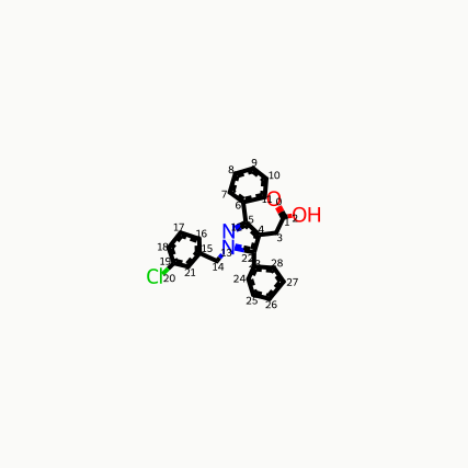 O=C(O)Cc1c(-c2ccccc2)nn(Cc2cccc(Cl)c2)c1-c1ccccc1